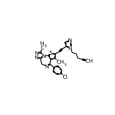 C#CCCCn1cncc1C#Cc1sc2c(c1C)C(c1ccc(Cl)cc1)=NCc1nnc(C)n1-2